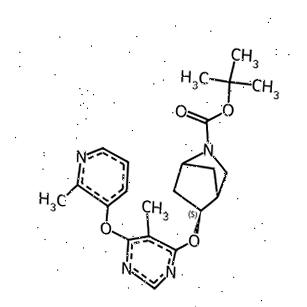 Cc1ncccc1Oc1ncnc(O[C@H]2CC3CC2CN3C(=O)OC(C)(C)C)c1C